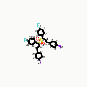 O=S(=O)(C(C=Cc1ccc(I)cc1)c1ccc(F)cc1)C(C=Cc1ccc(I)cc1)c1ccc(F)cc1